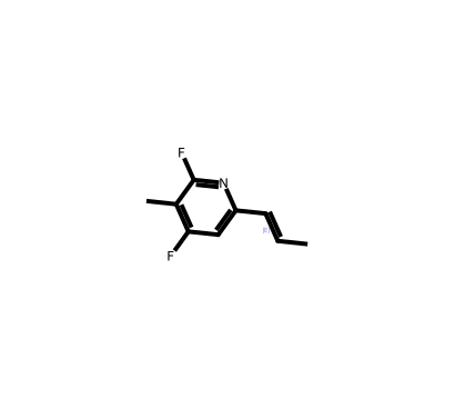 C/C=C/c1cc(F)c(C)c(F)n1